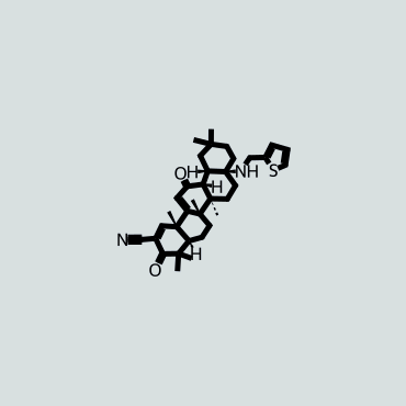 CC1(C)CC[C@]2(NCc3cccs3)CC[C@]3(C)[C@H](C(=O)C=C4[C@@]5(C)C=C(C#N)C(=O)C(C)(C)[C@@H]5CC[C@]43C)[C@@H]2C1